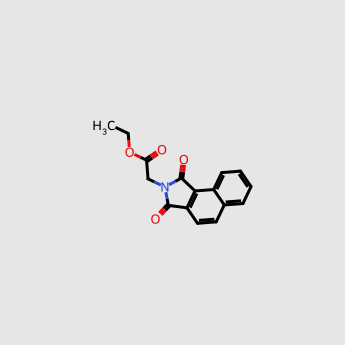 CCOC(=O)CN1C(=O)c2ccc3ccccc3c2C1=O